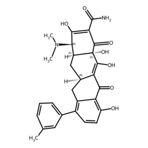 Cc1cccc(-c2ccc(O)c3c2C[C@H]2C[C@H]4[C@@H](N(C)C)C(O)=C(C(N)=O)C(=O)[C@@]4(O)C(O)=C2C3=O)c1